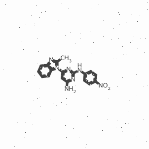 Cc1nc2ccccc2n1-c1cc(N)nc(Nc2ccc([N+](=O)[O-])cc2)n1